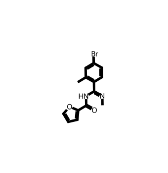 C/N=C(\NC(=O)c1ccco1)c1ccc(Br)cc1C